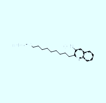 CCCCCCOCCCCCCCCCc1nc2ccccc2cc1[N+](=O)[O-]